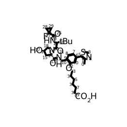 Cc1ncsc1-c1ccc(CNC(=O)[C@@H]2C[C@@H](O)CN2C(=O)C(NC(=O)C2(F)CC2)C(C)(C)C)c(OCCCCCCC(=O)O)c1